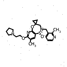 Cc1cc2c(nc1OCCN1CCCC1)OC1(CC1)CN(Cc1cccnc1C)[S+]2[O-]